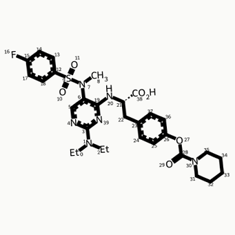 CCN(CC)c1ncc(N(C)S(=O)(=O)c2ccc(F)cc2)c(N[C@@H](Cc2ccc(OC(=O)N3CCCCC3)cc2)C(=O)O)n1